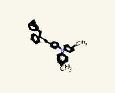 Cc1ccc(N(c2ccc(C)cc2)c2ccc(C=CC(=Cc3ccccc3)c3ccccc3)cc2)cc1